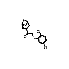 O=C(CSc1cc(Cl)ccc1Cl)C12CC3CC(C3)(C1)C2